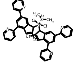 CCC1=Cc2c(-c3ccccn3)cc(-c3ccccn3)cc2[CH]1[Zr]([Cl])([Cl])([CH]1C(CC)=Cc2c(-c3ccccn3)cc(-c3ccccn3)cc21)[SiH](C)C